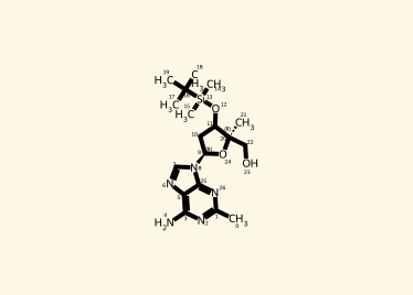 Cc1nc(N)c2ncn([C@H]3CC(O[Si](C)(C)C(C)(C)C)[C@@](C)(CO)O3)c2n1